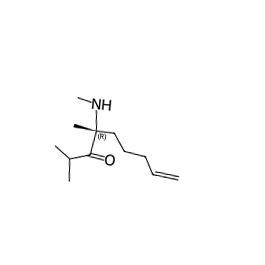 C=CCCC[C@@](C)(NC)C(=O)C(C)C